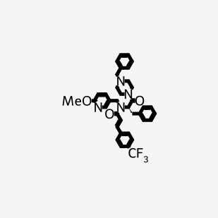 COc1ccc(CN(C(=O)/C=C/c2ccc(C(F)(F)F)cc2)[C@@H](Cc2ccccc2)C(=O)N2CCN(Cc3ccccc3)CC2)cn1